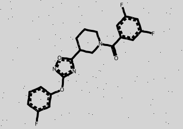 O=C(c1cc(F)cc(F)c1)N1CCCC(c2nc(Oc3cccc(F)c3)no2)C1